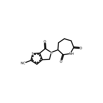 N#Cc1cc2c(s1)C(=O)N(C1CCCC(=O)NC1=O)C2